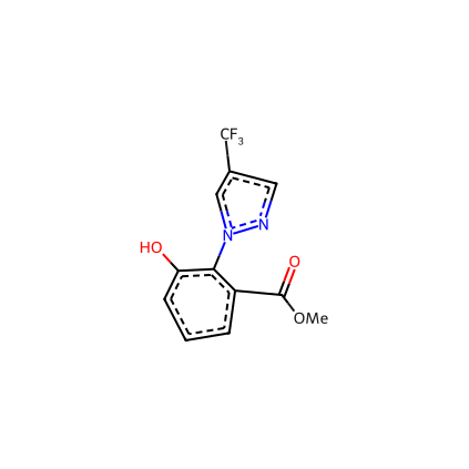 COC(=O)c1cccc(O)c1-n1cc(C(F)(F)F)cn1